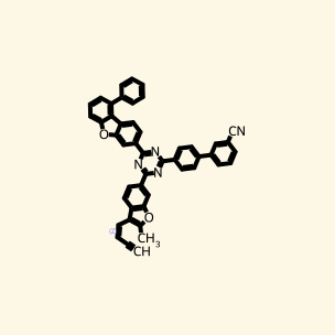 C#C/C=C\c1c(C)oc2cc(-c3nc(-c4ccc(-c5cccc(C#N)c5)cc4)nc(-c4ccc5c(c4)oc4cccc(-c6ccccc6)c45)n3)ccc12